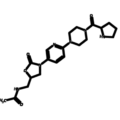 CC(=O)NCC1CN(c2ccc(N3CCN(C(=O)C4CCCN4)CC3)nc2)C(=O)O1